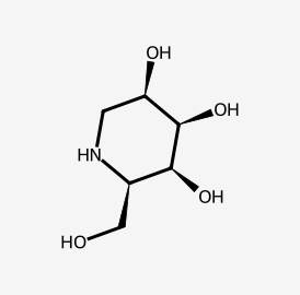 OC[C@H]1NC[C@@H](O)[C@@H](O)[C@H]1O